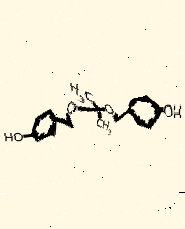 CC(C)(OCc1ccc(O)cc1)OCc1ccc(O)cc1